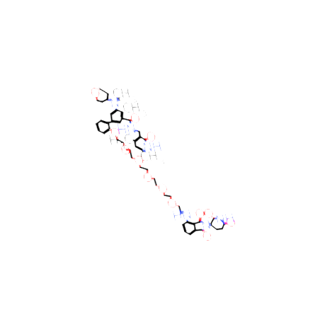 CCN(c1cc(-c2ccccc2OCCOCCOCCOCCOCCOCCNc2cccc3c2C(=O)N(C2CCC(=O)NC2=O)C3=O)cc(C(=O)NCc2c(C)cc(C)[nH]c2=O)c1C)C1CCOCC1